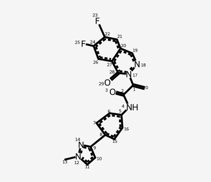 C=C(C(=O)Nc1ccc(-c2ccn(C)n2)cc1)n1ncc2cc(F)c(F)cc2c1=O